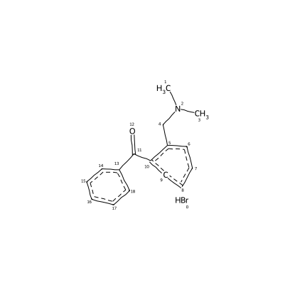 Br.CN(C)Cc1ccccc1C(=O)c1ccccc1